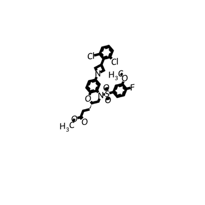 COC(=O)CC[C@H]1CN(S(=O)(=O)c2ccc(F)c(OC)c2)c2cc(N3CC(c4c(Cl)cccc4Cl)C3)ccc2O1